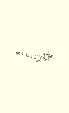 N#C/C=C/C=C/CC[C@H]1CC[C@H](c2ccc(F)c(F)c2)CC1